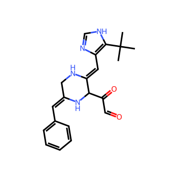 CC(C)(C)c1[nH]cnc1/C=C1\NC/C(=C/c2ccccc2)NC1C(=O)C=O